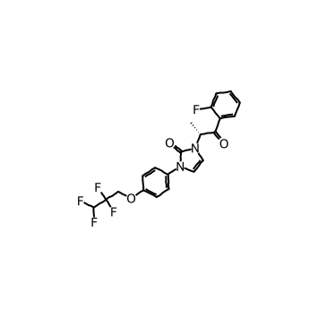 C[C@H](C(=O)c1ccccc1F)n1ccn(-c2ccc(OCC(F)(F)C(F)F)cc2)c1=O